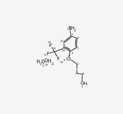 Bc1ccc(OCCCO)c(C(F)(F)F)c1.O.O